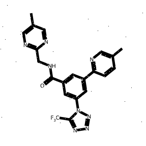 Cc1ccc(-c2cc(C(=O)NCc3ncc(C)cn3)cc(-n3nnnc3C(F)(F)F)c2)nc1